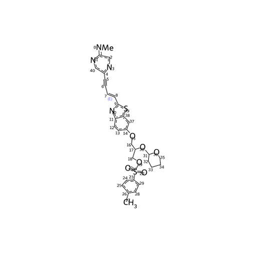 CNc1cnc(C#C/C=C/c2nc3ccc(OCC(COS(=O)(=O)c4ccc(C)cc4)OC4CCCCO4)cc3s2)cn1